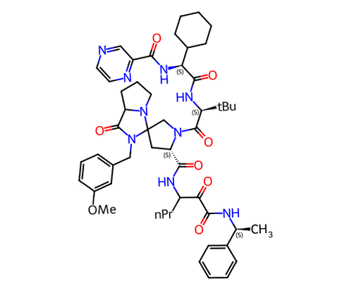 CCCC(NC(=O)[C@@H]1CC2(CN1C(=O)[C@@H](NC(=O)[C@@H](NC(=O)c1cnccn1)C1CCCCC1)C(C)(C)C)N(Cc1cccc(OC)c1)C(=O)C1CCCN12)C(=O)C(=O)N[C@@H](C)c1ccccc1